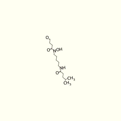 CC(C)CCC(=O)NCCCCCN(O)C(=O)CCC=O